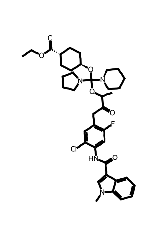 CCOC(=O)[C@H]1CC[C@H](OC(OC(C)C(=O)Cc2cc(Cl)c(NC(=O)c3cn(C)c4ccccc34)cc2F)(N2CCCCC2)N2CCCC2)CC1